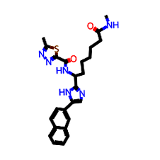 CNC(=O)CCCCCC(NC(=O)c1nnc(C)s1)c1ncc(-c2ccc3ccccc3c2)[nH]1